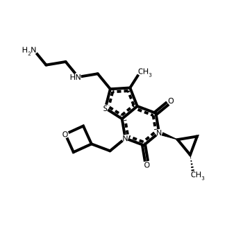 Cc1c(CNCCN)sc2c1c(=O)n([C@H]1C[C@@H]1C)c(=O)n2CC1COC1